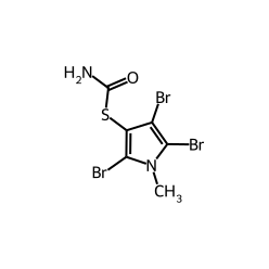 Cn1c(Br)c(Br)c(SC(N)=O)c1Br